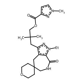 CCn1nc(CC(C)(C)COC(=O)c2ccn(C)n2)c2c1C(=O)NCC1(CCOCC1)C2